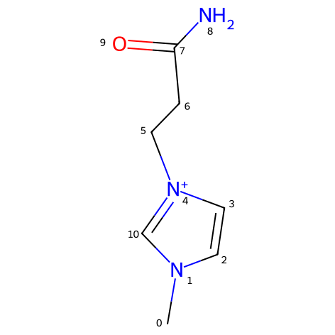 Cn1cc[n+](CCC(N)=O)c1